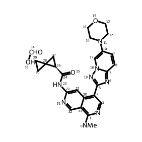 CNc1ncc(-c2nc3ccc(N4CCOCC4)cn3n2)c2cc(NC(=O)[C@@H]3CC34CC4)ncc12.O=CO